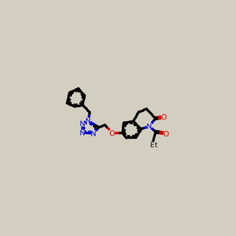 CCC(=O)N1C(=O)CCc2cc(OCc3nnnn3Cc3ccccc3)ccc21